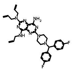 C=CCNc1nc(N(CC=C)CC=C)nc2c(N)nc(N3CCN(C(c4ccc(F)cc4)c4ccc(F)cc4)CC3)nc12